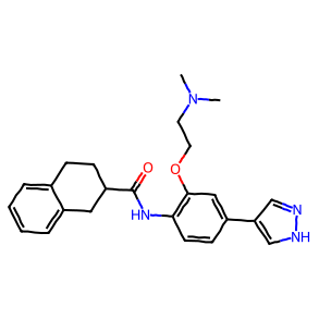 CN(C)CCOc1cc(-c2cn[nH]c2)ccc1NC(=O)C1CCc2ccccc2C1